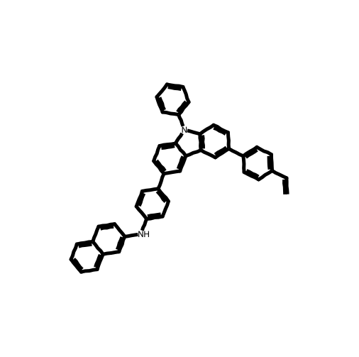 C=Cc1ccc(-c2ccc3c(c2)c2cc(-c4ccc(Nc5ccc6ccccc6c5)cc4)ccc2n3-c2ccccc2)cc1